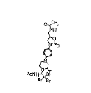 CC(=O)NC(N1CCN(c2ccc(N3CC(CNC(=O)C(F)(F)F)OC3=O)cc2)CC1F)C(Br)(Br)Br